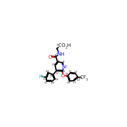 O=C(O)CNC(=O)c1cnc(Oc2ccc(C(F)(F)F)cc2)c(-c2cccc(F)c2)c1